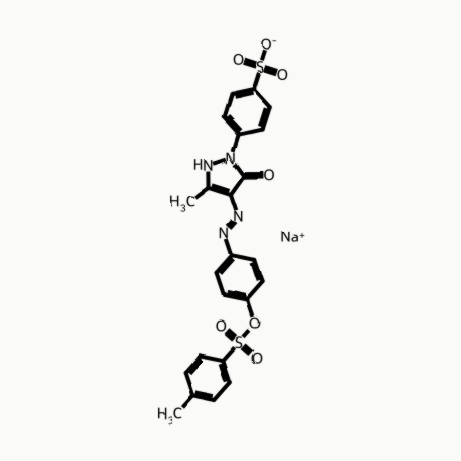 Cc1ccc(S(=O)(=O)Oc2ccc(N=Nc3c(C)[nH]n(-c4ccc(S(=O)(=O)[O-])cc4)c3=O)cc2)cc1.[Na+]